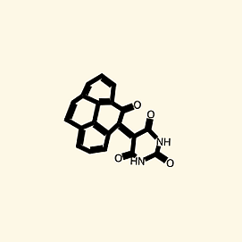 O=C1NC(=O)C(=C2C(=O)c3cccc4ccc5cccc2c5c34)C(=O)N1